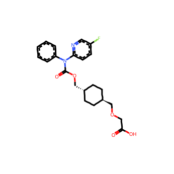 O=C(O)COC[C@H]1CC[C@H](COC(=O)N(c2ccccc2)c2ccc(F)cn2)CC1